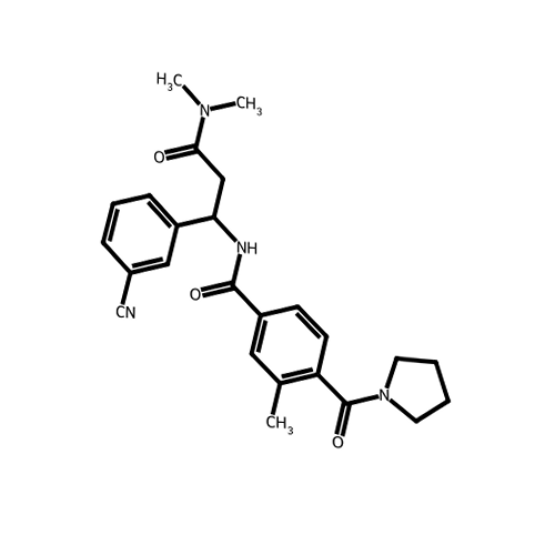 Cc1cc(C(=O)NC(CC(=O)N(C)C)c2cccc(C#N)c2)ccc1C(=O)N1CCCC1